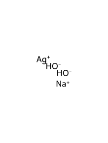 [Ag+].[Na+].[OH-].[OH-]